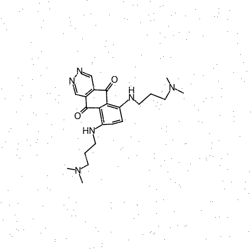 CN(C)CCCNc1ccc(NCCCN(C)C)c2c1C(=O)c1cnncc1C2=O